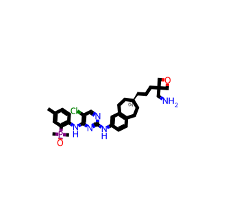 Cc1ccc(Nc2nc(Nc3ccc4c(c3)CC[C@@H](CCCC3(CN)COC3)CC4)ncc2Cl)c(P(C)(C)=O)c1